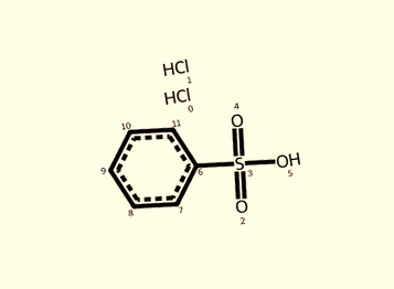 Cl.Cl.O=S(=O)(O)c1ccccc1